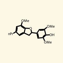 CCCc1cc2c(c(OC)c1)OC(c1cc(OC)c(O)c(OC)c1)C2